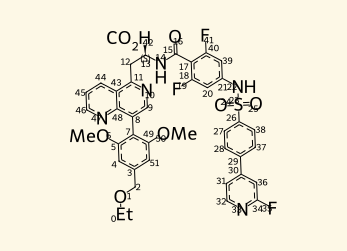 CCOCc1cc(OC)c(-c2cnc(C[C@H](NC(=O)c3c(F)cc(NS(=O)(=O)c4ccc(-c5ccnc(F)c5)cc4)cc3F)C(=O)O)c3cccnc23)c(OC)c1